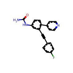 NC(=O)Nc1ccc(-c2ccncc2)c(C#Cc2ccc(F)cc2)c1